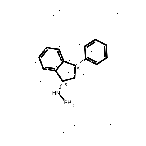 BN[C@H]1C[C@@H](c2ccccc2)c2ccccc21